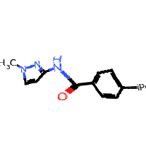 CC(C)c1ccc(C(=O)Nc2ccn(C)n2)cc1